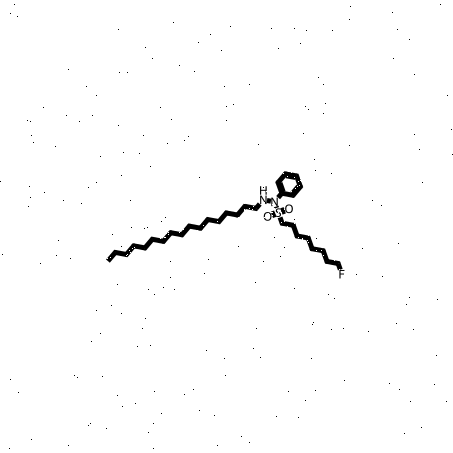 CCCCCCCCCCCCCCCCCNN(c1ccccc1)S(=O)(=O)CCCCCCCCF